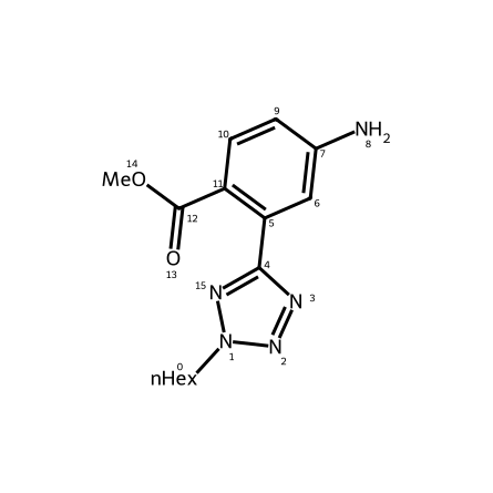 CCCCCCn1nnc(-c2cc(N)ccc2C(=O)OC)n1